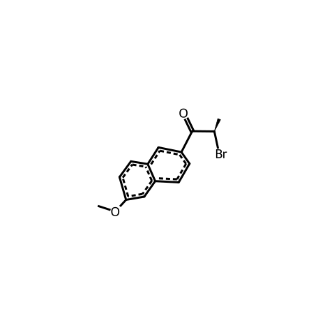 COc1ccc2cc(C(=O)[C@@H](C)Br)ccc2c1